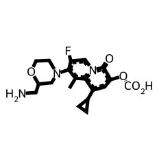 Cc1c(N2CCOC(CN)C2)c(F)cn2c(=O)c(OC(=O)O)cc(C3CC3)c12